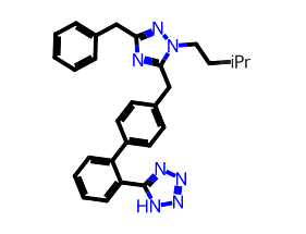 CC(C)CCn1nc(Cc2ccccc2)nc1Cc1ccc(-c2ccccc2-c2nnn[nH]2)cc1